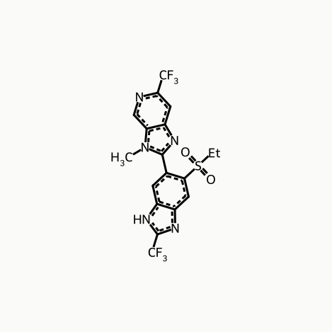 CCS(=O)(=O)c1cc2nc(C(F)(F)F)[nH]c2cc1-c1nc2cc(C(F)(F)F)ncc2n1C